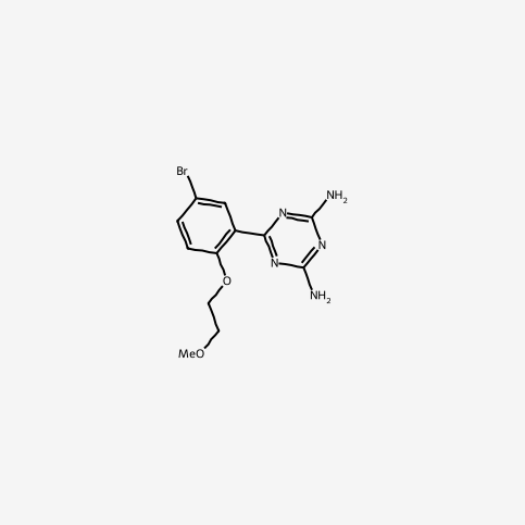 COCCOc1ccc(Br)cc1-c1nc(N)nc(N)n1